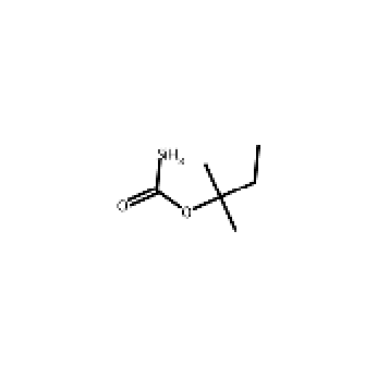 CCC(C)(C)OC(=O)[SiH3]